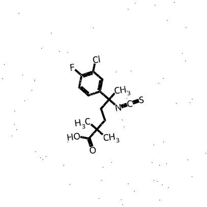 CC(C)(CCC(C)(N=C=S)c1ccc(F)c(Cl)c1)C(=O)O